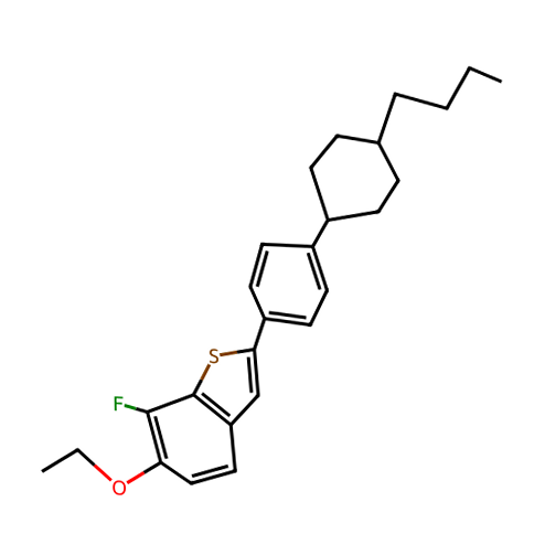 CCCCC1CCC(c2ccc(-c3cc4ccc(OCC)c(F)c4s3)cc2)CC1